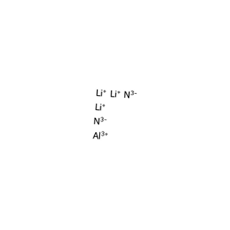 [Al+3].[Li+].[Li+].[Li+].[N-3].[N-3]